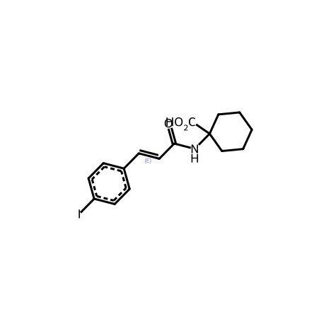 O=C(/C=C/c1ccc(I)cc1)NC1(C(=O)O)CCCCC1